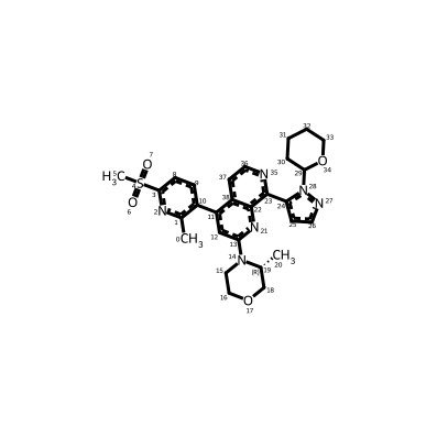 Cc1nc(S(C)(=O)=O)ccc1-c1cc(N2CCOC[C@H]2C)nc2c(-c3ccnn3C3CCCCO3)nccc12